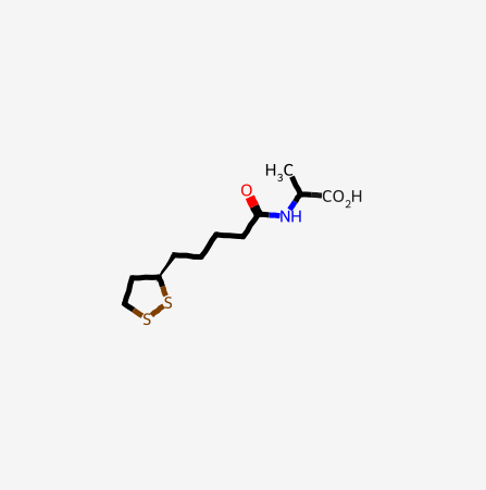 CC(NC(=O)CCCC[C@@H]1CCSS1)C(=O)O